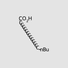 CCCCC=C=C=C=C=C=C=C=C=C=C=C=C=C=CC(=O)O